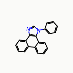 c1ccc(-n2cnc3c4ccccc4c4ccccc4c32)cc1